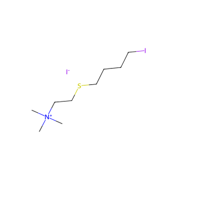 C[N+](C)(C)CCSCCCCI.[I-]